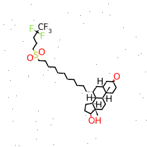 C[C@]12CCC(=O)C[C@@H]1C[C@@H](CCCCCCCCCCCS(=O)(=O)CCCC(F)(F)C(F)(F)F)[C@@H]1[C@@H]2CC[C@]2(C)[C@@H](O)CC[C@@H]12